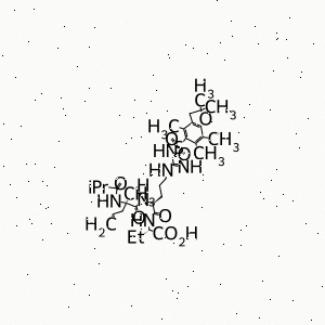 C=CC[C@@](C)(NC(=O)C(C)C)C(=O)N[C@@H](CCCNC(=N)NS(=O)(=O)c1c(C)c(C)c2c(c1C)CC(C)(C)O2)C(=O)N[C@@H](CC)C(=O)O